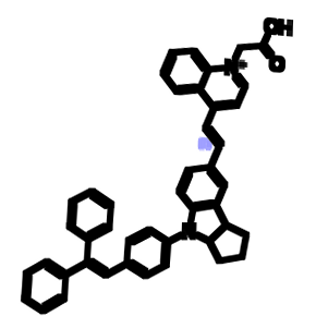 O=C(O)C[n+]1ccc(/C=C/c2ccc3c(c2)C2CCCC2N3c2ccc(C=C(c3ccccc3)c3ccccc3)cc2)c2ccccc21